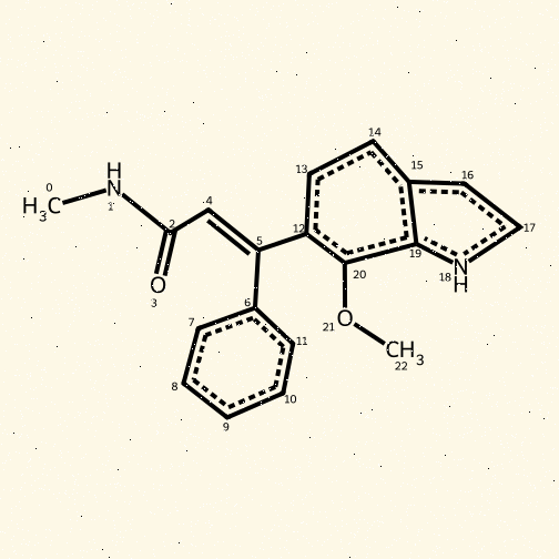 CNC(=O)C=C(c1ccccc1)c1ccc2cc[nH]c2c1OC